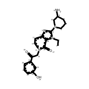 CCn1c(N2CCCC(N)C2)nc2ccn(CC(=O)c3cccc(O)c3)c(=O)c21